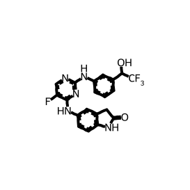 O=C1Cc2cc(Nc3nc(Nc4cccc(C(O)C(F)(F)F)c4)ncc3F)ccc2N1